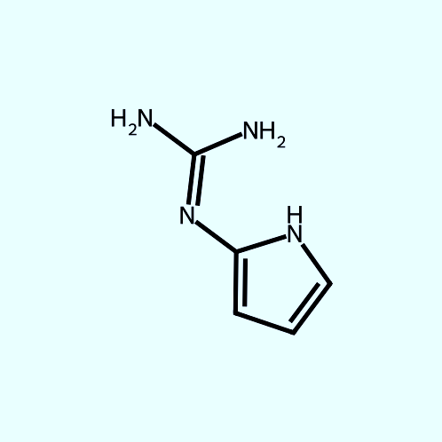 NC(N)=Nc1ccc[nH]1